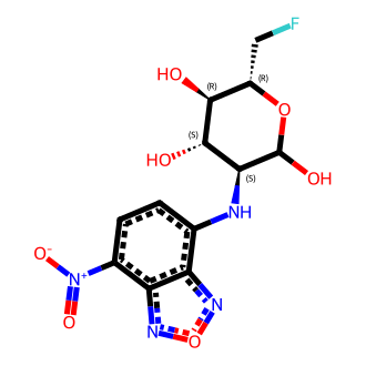 O=[N+]([O-])c1ccc(N[C@@H]2C(O)O[C@@H](CF)[C@H](O)[C@H]2O)c2nonc12